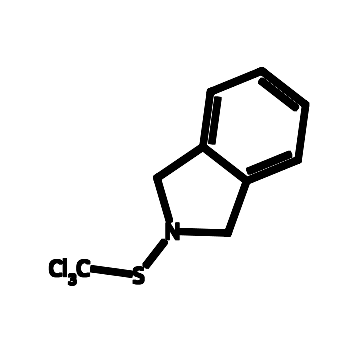 ClC(Cl)(Cl)SN1Cc2ccccc2C1